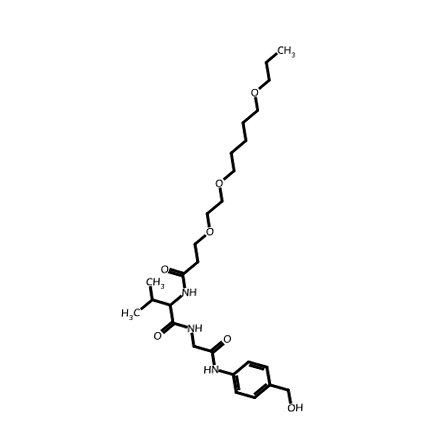 CCCOCCCCCOCCOCCC(=O)NC(C(=O)NCC(=O)Nc1ccc(CO)cc1)C(C)C